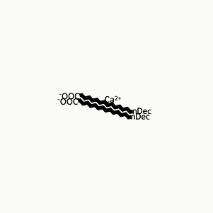 CCCCCCCCCCCCCCCCCCCCCCCCC(=O)[O-].CCCCCCCCCCCCCCCCCCCCCCCCC(=O)[O-].[Ca+2]